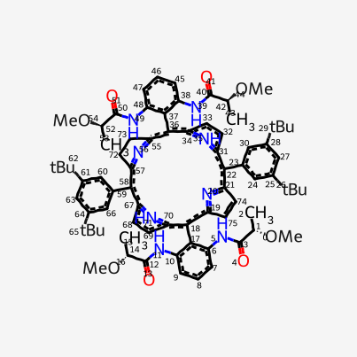 CO[C@@H](C)C(=O)Nc1cccc(NC(=O)[C@@H](C)OC)c1-c1c2nc(c(-c3cc(C(C)(C)C)cc(C(C)(C)C)c3)c3ccc([nH]3)c(-c3c(NC(=O)[C@H](C)OC)cccc3NC(=O)[C@@H](C)OC)c3nc(c(-c4cc(C(C)(C)C)cc(C(C)(C)C)c4)c4ccc1[nH]4)CC3)C=C2